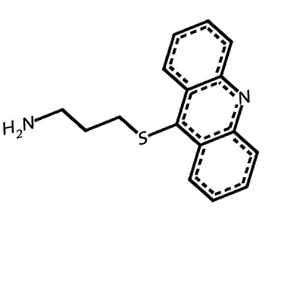 NCCCSc1c2ccccc2nc2ccccc12